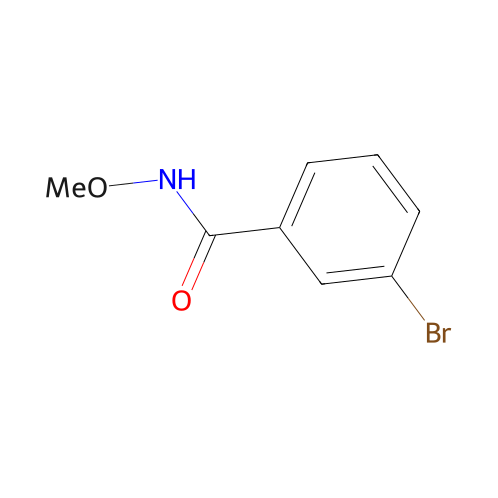 CONC(=O)c1cccc(Br)c1